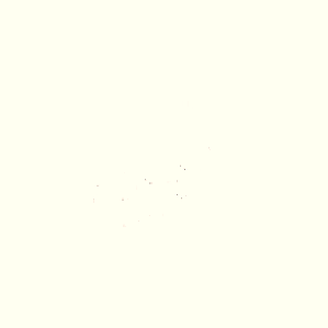 CCCCN(CCC)c1nccc(C(C)(C)C)n1